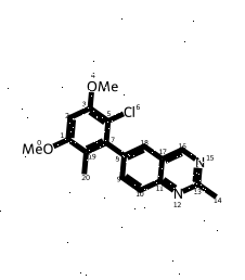 COc1cc(OC)c(Cl)c(-c2ccc3nc(C)ncc3c2)c1C